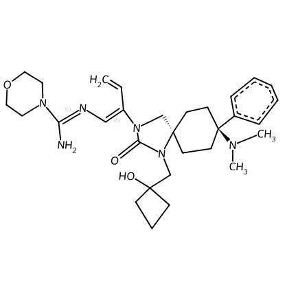 C=C/C(=C\N=C(/N)N1CCOCC1)N1C[C@]2(CC[C@](c3ccccc3)(N(C)C)CC2)N(CC2(O)CCC2)C1=O